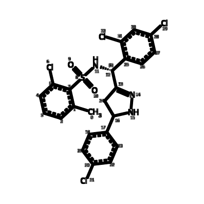 Cc1cccc(Cl)c1S(=O)(=O)N[C@@H](C1=NNC(c2ccc(Cl)cc2)C1)c1ccc(Cl)cc1Cl